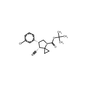 CC(C)(C)OC(=O)N1C[C@@H](c2cccc(Cl)c2)[C@@H](C#N)C12CC2